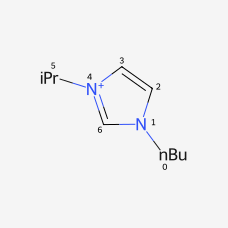 CCCCn1cc[n+](C(C)C)c1